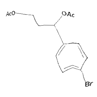 CC(=O)OCCC(OC(C)=O)c1ccc(Br)cc1